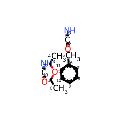 CCOCC.Cc1ccccc1.N=C=O.N=C=O